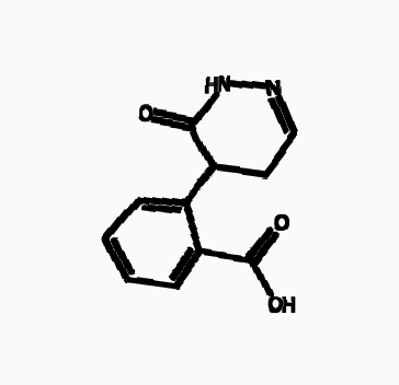 O=C(O)c1ccccc1C1CC=NNC1=O